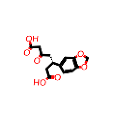 O=C(O)CC(=O)C[C@@H](CC(=O)O)c1ccc2c(c1)OCO2